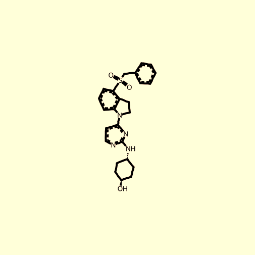 O=S(=O)(Cc1ccccc1)c1cccc2c1CCN2c1ccnc(N[C@H]2CC[C@H](O)CC2)n1